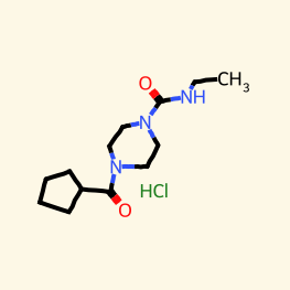 CCNC(=O)N1CCN(C(=O)C2CCCC2)CC1.Cl